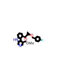 COCc1cncc2[nH]c3cccc(C(=O)C4CC4OCc4ccc(F)cc4)c3c12